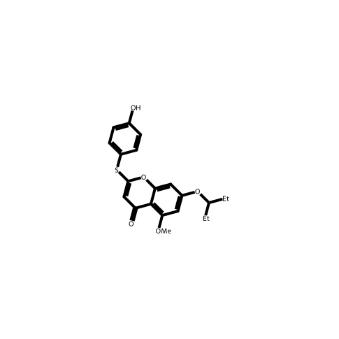 CCC(CC)Oc1cc(OC)c2c(=O)cc(Sc3ccc(O)cc3)oc2c1